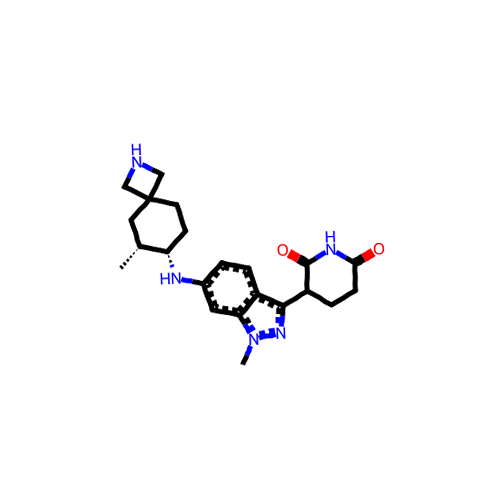 C[C@@H]1CC2(CC[C@@H]1Nc1ccc3c(C4CCC(=O)NC4=O)nn(C)c3c1)CNC2